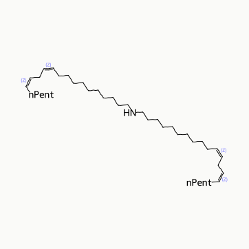 CCCCC/C=C\C/C=C\CCCCCCCCCCNCCCCCCCCCC/C=C\C/C=C\CCCCC